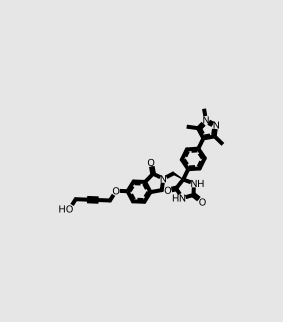 Cc1nn(C)c(C)c1-c1ccc([C@]2(CN3Cc4ccc(OCC#CCO)cc4C3=O)NC(=O)NC2=O)cc1